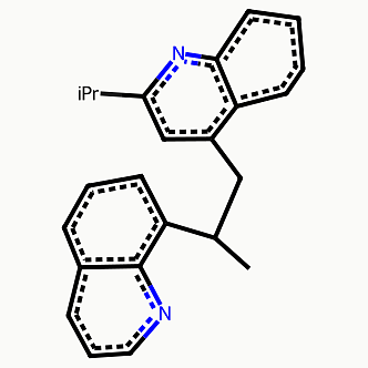 CC(C)c1cc(CC(C)c2cccc3cccnc23)c2ccccc2n1